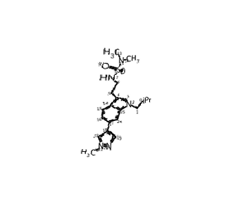 CC(C)Cn1cc(CCNS(=O)(=O)N(C)C)c2ccc(-c3cnn(C)c3)cc21